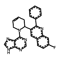 Fc1ccc2cc(C3CC=CCN3c3ncnc4[nH]cnc34)c(-c3ccccc3)nc2c1